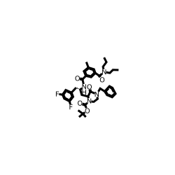 CCCN(CCC)C(=O)c1cc(C)cc(C(=O)N[C@@H](Cc2cc(F)cc(F)c2)CC2C(=O)N(Cc3ccccc3)CCN2C(=O)OC(C)(C)C)c1